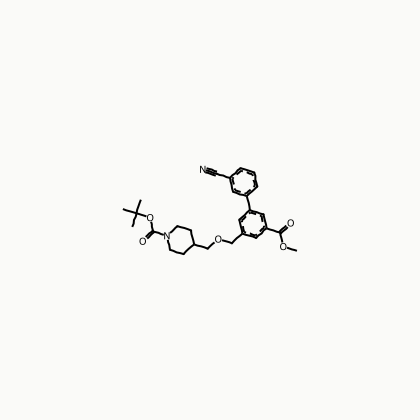 COC(=O)c1cc(COCC2CCN(C(=O)OC(C)(C)C)CC2)cc(-c2cccc(C#N)c2)c1